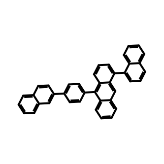 c1ccc2cc(-c3ccc(-c4c5ccccc5cc5c(-c6cccc7ccccc67)cccc45)cc3)ccc2c1